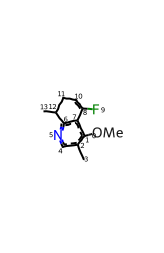 COc1c(C)cnc2c1C(F)=CCC2C